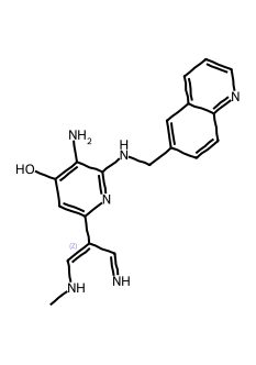 CN/C=C(\C=N)c1cc(O)c(N)c(NCc2ccc3ncccc3c2)n1